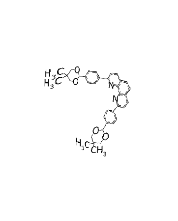 CC1(C)COC(c2ccc(-c3ccc4ccc5ccc(-c6ccc(C7OCC(C)(C)CO7)cc6)nc5c4n3)cc2)OC1